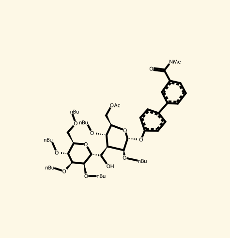 CCCCOC[C@H]1O[C@H](C(O)[C@@H]2[C@H](OCCCC)[C@@H](Oc3ccc(-c4cccc(C(=O)NC)c4)cc3)O[C@H](COC(C)=O)[C@H]2OCCCC)[C@@H](OCCCC)[C@@H](OCCCC)[C@@H]1OCCCC